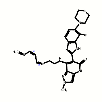 C=N/C=C\C=N/CCNc1c(-c2nc3ccc(N4CCOCC4)c(F)c3[nH]2)c(=O)[nH]c2cn(C)nc12